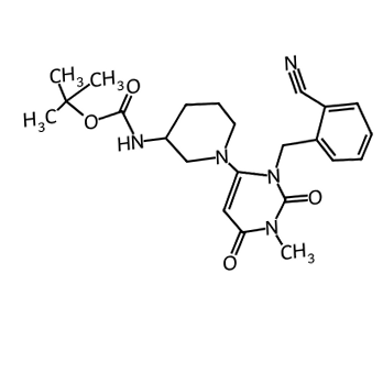 Cn1c(=O)cc(N2CCCC(NC(=O)OC(C)(C)C)C2)n(Cc2ccccc2C#N)c1=O